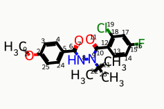 COc1ccc(C(=O)NN(C(=O)c2ccc(F)cc2Cl)C(C)(C)C)cc1